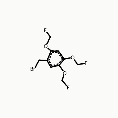 FCOc1cc(OCF)c(OCF)cc1CBr